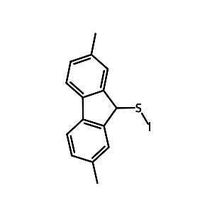 Cc1ccc2c(c1)C(SI)c1cc(C)ccc1-2